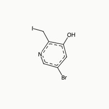 Oc1cc(Br)cnc1CI